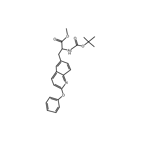 COC(=O)C(Cc1ccc2nc(Oc3ccccc3)ccc2c1)[AsH]C(=O)OC(C)(C)C